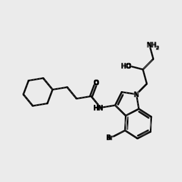 NCC(O)Cn1cc(NC(=O)CCC2CCCCC2)c2c(Br)cccc21